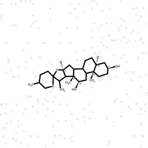 CC1CCC2(OC1)O[C@H]1CC3C4CC[C@H]5C[C@@H](O)CC[C@]5(C)C4C[C@@H](O)[C@]3(C)C1C2C